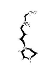 O=CCNCCCN1CCOCC1